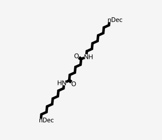 CCCCCCCCCCCCCCCCCCNC(=O)CCCCC(=O)NCCCCCCCCCCCCCCCCCC